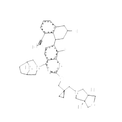 C#Cc1cccc2c1C(c1c(C(F)(F)F)cc3c(N4CC5CCC(C4)N5)nc(OCC4(CN5C[C@H]6COC[C@@H]6C5)CC4)nc3c1F)CC(O)C2